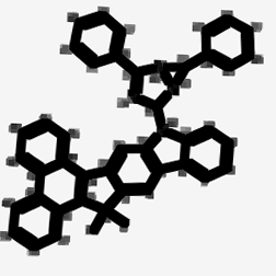 CC1(C)c2cc3c4ccccc4n(C4N=C(c5ccccc5)N5C(c6ccccc6)N45)c3cc2-c2c1c1ccccc1c1ccccc21